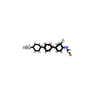 CCCCC1CCC(c2ccc(-c3ccc(N=C=S)c(F)c3)cc2)CC1